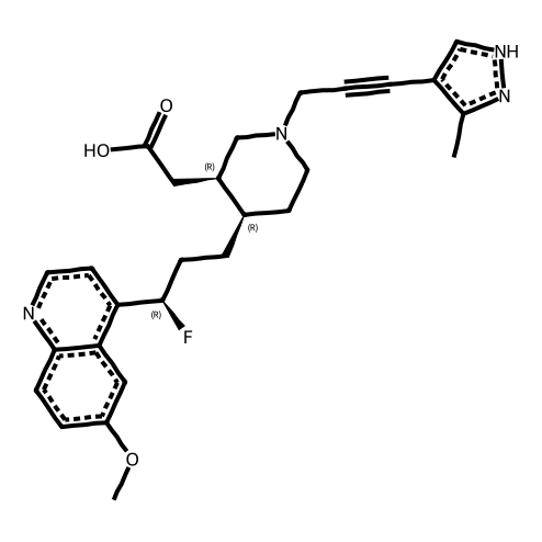 COc1ccc2nccc([C@H](F)CC[C@@H]3CCN(CC#Cc4c[nH]nc4C)C[C@@H]3CC(=O)O)c2c1